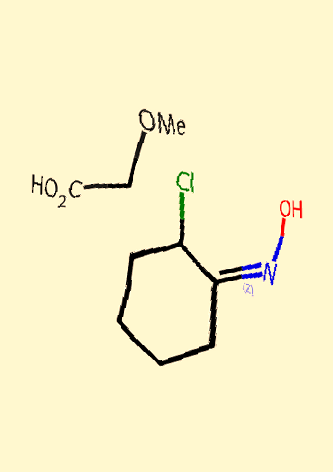 COCC(=O)O.O/N=C1/CCCCC1Cl